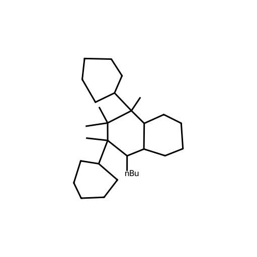 CCCCC1C2CCCCC2C(C)(C2CCCCC2)C(C)(C)C1(C)C1CCCCC1